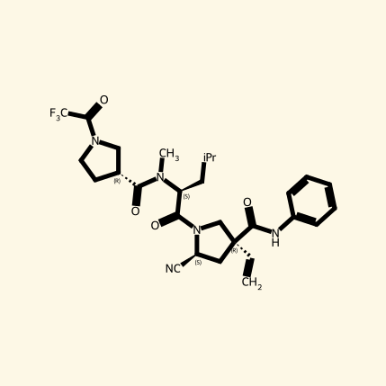 C=C[C@]1(C(=O)Nc2ccccc2)C[C@@H](C#N)N(C(=O)[C@H](CC(C)C)N(C)C(=O)[C@@H]2CCN(C(=O)C(F)(F)F)C2)C1